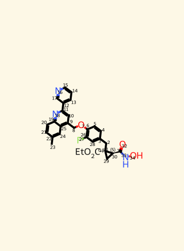 CCOC(=O)[C@@]1(Cc2ccc(OCc3cc(-c4cccnc4)nc4ccc(C)cc34)c(F)c2)C[C@@H]1C(=O)NO